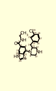 CCNC(=O)c1cc(N2CCNCC2Cc2cccc(Cl)c2)c2nc[nH]c2c1